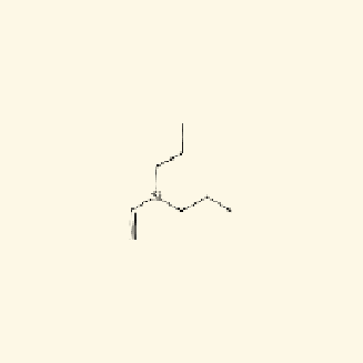 C=C[Si](CCC)CCC